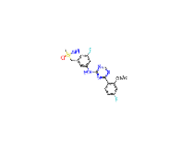 COc1cc(F)ccc1-c1ncnc(Nc2cc(F)cc(CS(C)(=N)=O)c2)n1